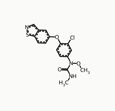 CNC(=O)N(OC)c1ccc(Oc2ccc3sncc3c2)c(Cl)c1